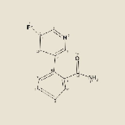 CC(C)c1cncc(-c2ccccc2C(N)=O)c1